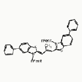 CCCCCN1/C(=C/C(C)=C/c2sc3ccc(-c4ccccc4)cc3[n+]2CCCCC)Sc2ccc(-c3ccccc3)cc21